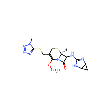 Cn1nnnc1SCC1=C(OC(=O)O)N2C(=O)C(NC3=NC4CC4N3)[C@@H]2SC1